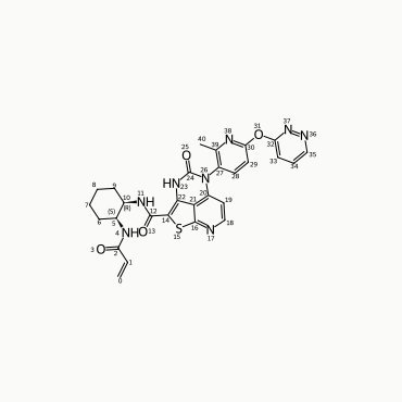 C=CC(=O)N[C@H]1CCCC[C@H]1NC(=O)c1sc2nccc3c2c1NC(=O)N3c1ccc(Oc2cccnn2)nc1C